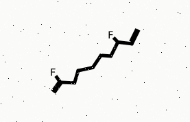 C=CC(F)CCCCCC(=C)F